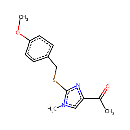 COc1ccc(CSc2nc(C(C)=O)cn2C)cc1